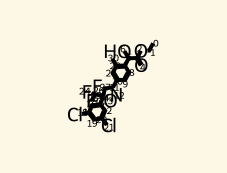 CCOC(=O)C(O)c1ccc(C2=NOC(c3cc(Cl)cc(Cl)c3)(C(F)(F)F)C2)cc1C